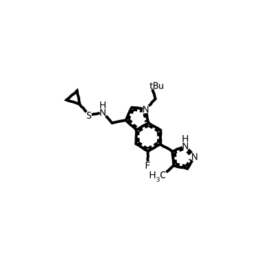 Cc1cn[nH]c1-c1cc2c(cc1F)c(CNSC1CC1)cn2CC(C)(C)C